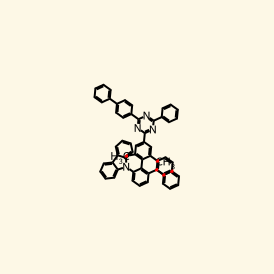 Cc1cc(-c2nc(-c3ccccc3)nc(-c3ccc(-c4ccccc4)cc3)n2)cc(-c2ccccc2)c1-c1c(C(C)c2ccccc2)cccc1-n1c2ccccc2c2ccccc21